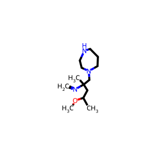 C=NC(C)(CC(C)OC)CN1CCCNCC1